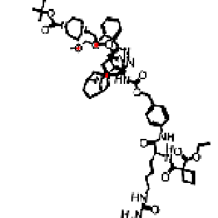 CCOC(=O)C1(C(=O)N[C@@H](CCCCNC(N)=O)C(=O)Nc2ccc(COC(=O)Nc3nnc(-c4ccccc4OCOC)cc3N3CC4CCC(C3)N4c3ccnc(OCCN4CCN(C(=O)OC(C)(C)C)C[C@H]4C)c3)cc2)CCC1